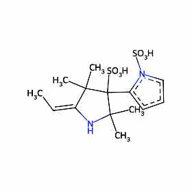 CC=C1NC(C)(C)C(c2cccn2S(=O)(=O)O)(S(=O)(=O)O)C1(C)C